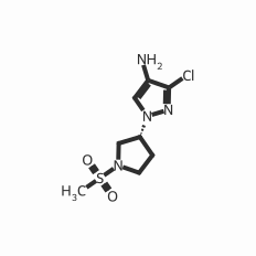 CS(=O)(=O)N1CC[C@@H](n2cc(N)c(Cl)n2)C1